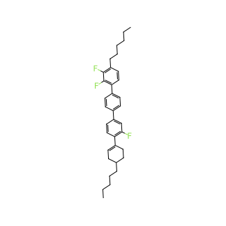 CCCCCCc1ccc(-c2ccc(-c3ccc(C4=CCC(CCCCC)CC4)c(F)c3)cc2)c(F)c1F